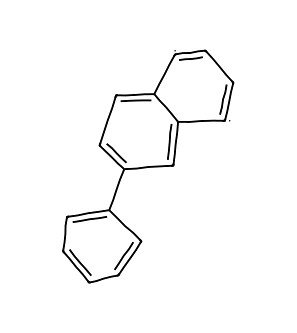 [c]1cc[c]c2cc(-c3ccccc3)ccc12